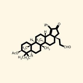 CC(=O)O[C@H]1CC[C@]2(C)[C@H]3CC[C@@H]4C5=C(C(C)C)C(=O)C[C@]5(CCC=O)CC[C@@]4(C)[C@]3(C)CC[C@H]2C1(C)C